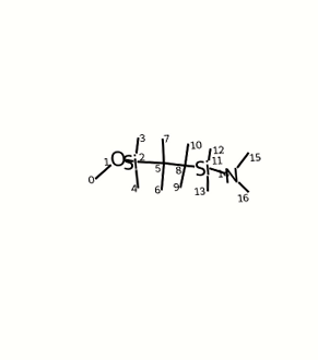 CO[Si](C)(C)C(C)(C)C(C)(C)[Si](C)(C)N(C)C